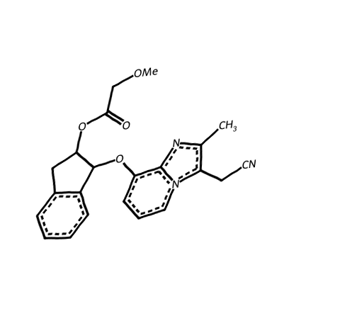 COCC(=O)OC1Cc2ccccc2C1Oc1cccn2c(CC#N)c(C)nc12